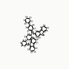 C1=CC(c2ccccc2-n2c3ccccc3c3ccccc32)CC=C1N(c1ccc(-c2ccccc2)cc1)c1ccc2sc3ccccc3c2c1